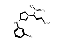 CN(C)[C@H](/C=C/C=O)N1CC[C@@H](Nc2cccc(C(F)(F)F)c2)C1